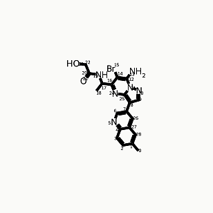 Cc1ccc2ncc(-c3cnn4c(N)c(Br)c(C(C)NC(=O)CO)nc34)cc2c1